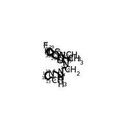 C=C(CN1CNCC1CN1CCCCC1C)N1CC(C)(C)c2nc(C)c(Cc3ccc(F)cc3)cc21